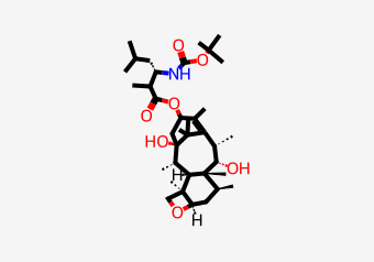 CC1=C2[C@H](C)[C@H](O)[C@@]3(C)[C@H]([C@H](C)[C@](O)(CC1OC(=O)C(C)[C@H](CC(C)C)NC(=O)OC(C)(C)C)C2(C)C)[C@]1(C)CO[C@@H]1C[C@@H]3C